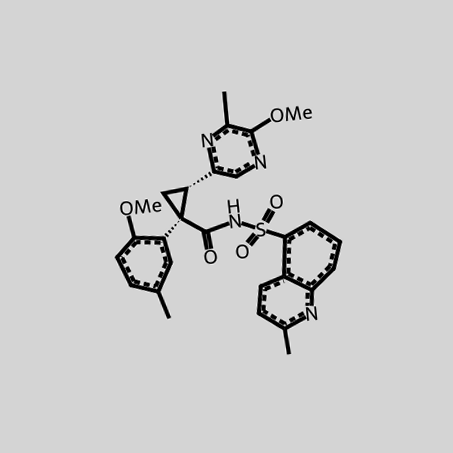 COc1ccc(C)cc1[C@]1(C(=O)NS(=O)(=O)c2cccc3nc(C)ccc23)C[C@@H]1c1cnc(OC)c(C)n1